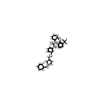 CC(C)(C)c1ccccc1Oc1ncccc1NC(=O)Nc1cccc(OCC2CCN(Cc3ccccc3)C2)c1